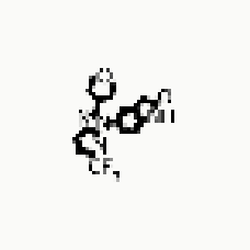 O=C1Cc2cc(-n3c(C4CCOCC4)nc4ccc(C(F)(F)F)nc43)ccc2N1